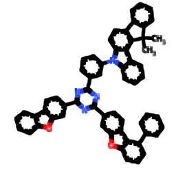 CC1(C)c2ccccc2-c2ccc3c(c21)c1ccccc1n3-c1cccc(-c2nc(-c3ccc4c(c3)oc3ccccc34)nc(-c3ccc4c(c3)oc3cccc(-c5ccccc5)c34)n2)c1